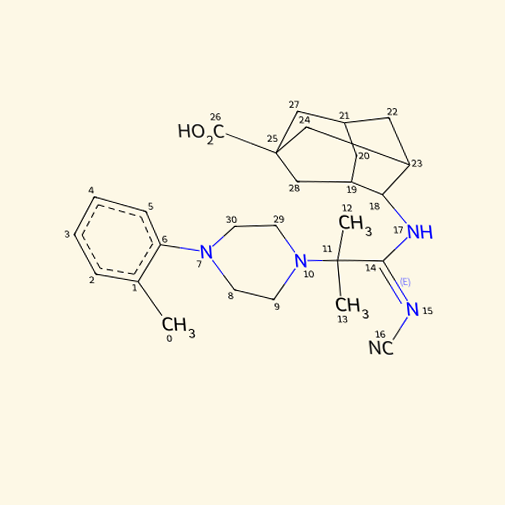 Cc1ccccc1N1CCN(C(C)(C)/C(=N\C#N)NC2C3CC4CC2CC(C(=O)O)(C4)C3)CC1